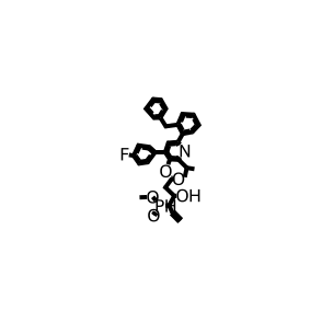 C#CC(C(O)CC(=O)Oc1c(-c2ccc(F)cc2)cc(-c2ccccc2Cc2ccccc2)nc1C(C)C)[PH](=O)OC